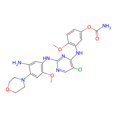 COc1cc(N2CCOCC2)c(N)cc1Nc1ncc(Cl)c(Nc2cc(OC(N)=O)ccc2OC)n1